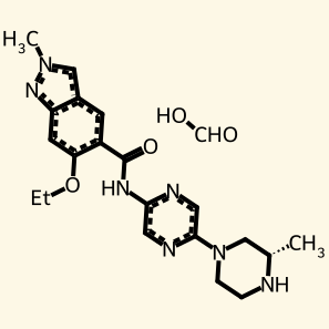 CCOc1cc2nn(C)cc2cc1C(=O)Nc1cnc(N2CCN[C@@H](C)C2)cn1.O=CO